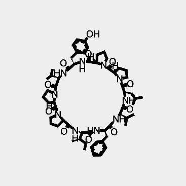 CC[C@@H](C)[C@@H]1NC(=O)C2CCCN2C(=O)[C@@H]2CCCN2C(=O)[C@@H](C(C)C)NC(=O)[C@H](Cc2ccc(O)cc2)NC(=O)[C@@H]2CCCN2C(=O)[C@@H]2CCCN2C(=O)[C@@H](CC(C)C)NC(=O)[C@@H](C(C)C)NC(=O)[C@@H](Cc2ccccc2)NC1=O